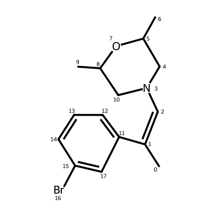 CC(=CN1CC(C)OC(C)C1)c1cccc(Br)c1